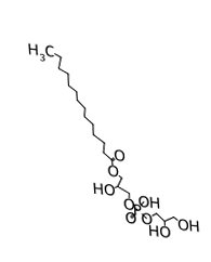 CCCCCCCCCCCCCC(=O)OCC(O)COP(=O)(O)OCC(O)CO